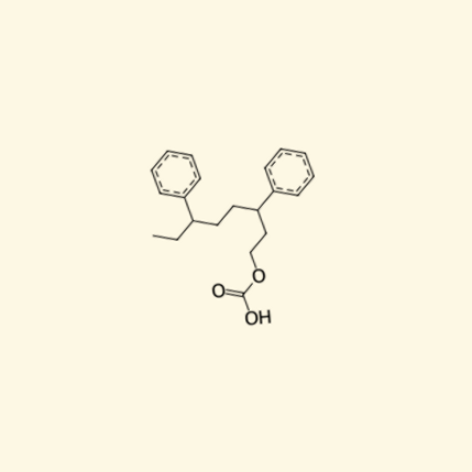 CCC(CCC(CCOC(=O)O)c1ccccc1)c1ccccc1